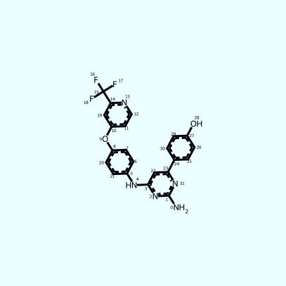 Nc1nc(Nc2ccc(Oc3ccnc(C(F)(F)F)c3)cc2)cc(-c2ccc(O)cc2)n1